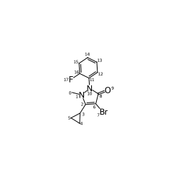 Cn1c(C2CC2)c(Br)c(=O)n1-c1ccccc1F